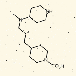 CN(CCCC1CCN(C(=O)O)CC1)C1CCNCC1